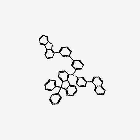 c1ccc(C2(c3ccccc3)c3ccccc3-c3c(N(c4cccc(-c5cccc(-c6cccc7c6sc6ccccc67)c5)c4)c4cccc(-c5cccc6ccccc56)c4)cccc32)cc1